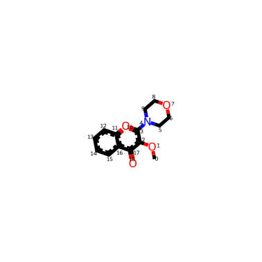 COc1c(N2CCOCC2)oc2ccccc2c1=O